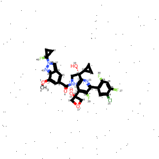 COc1cc(C(=O)NC[C@](O)(c2cc(C3(O)COC3)c(F)c(-c3cc(Cl)c(F)cc3F)n2)C2CC2)cc2cn(C3(F)CC3)nc12